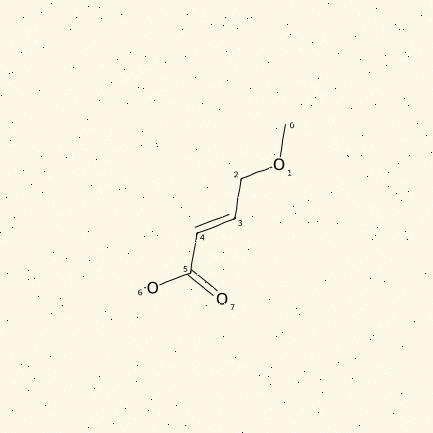 COCC=CC([O])=O